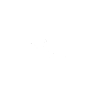 CCOC(=O)C1CC1C[O]